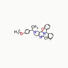 COc1ccc(C(C)N2CCc3nc(C)n(C(c4ccccc4)c4ccccc4)c(=O)c3C2)cc1